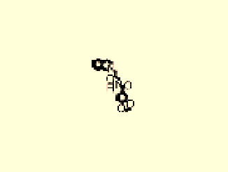 O=C(NC[C@H](O)CN1CCc2ccccc2C1)c1ccc2c(c1)OCCO2